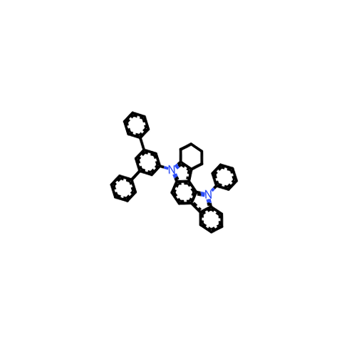 c1ccc(-c2cc(-c3ccccc3)cc(-n3c4c(c5c3ccc3c6ccccc6n(-c6ccccc6)c35)CCCC4)c2)cc1